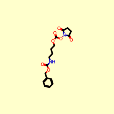 O=C(NCCCCOC(=O)ON1C(=O)CCC1=O)OCc1ccccc1